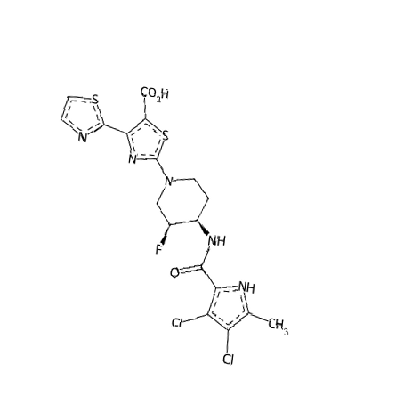 Cc1[nH]c(C(=O)N[C@@H]2CCN(c3nc(-c4nccs4)c(C(=O)O)s3)C[C@@H]2F)c(Cl)c1Cl